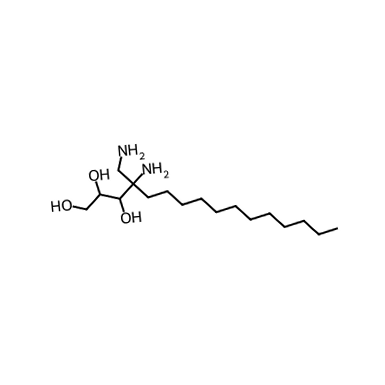 CCCCCCCCCCCCC(N)(CN)C(O)C(O)CO